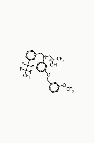 O[C@H](CN(Cc1cccc(C(F)(F)C(F)(F)C(F)(F)F)c1)c1cccc(OCc2cccc(OC(F)(F)F)c2)c1)C(F)(F)F